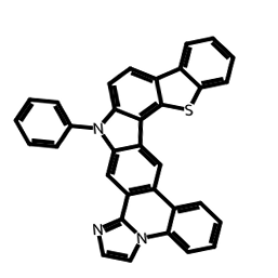 c1ccc(-n2c3cc4c(cc3c3c5sc6ccccc6c5ccc32)c2ccccc2n2ccnc42)cc1